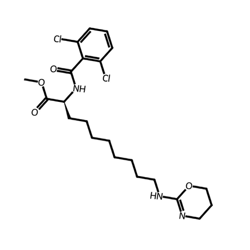 COC(=O)[C@H](CCCCCCCCNC1=NCCCO1)NC(=O)c1c(Cl)cccc1Cl